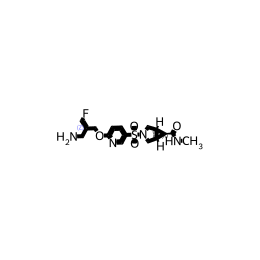 CNC(=O)[C@H]1[C@@H]2CN(S(=O)(=O)c3ccc(OC/C(=C\F)CN)nc3)C[C@@H]21